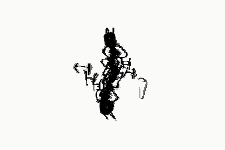 CC(C)(N=NC(C)(C)C(=O)NCCOC(=O)c1ccncc1)C(=O)NCCOC(=O)c1ccncc1